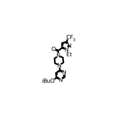 CCn1nc(C(F)(F)F)cc1C(=O)N1CCN(c2cc(OCC(C)C)ncn2)CC1